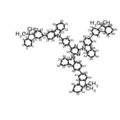 CC1(C)c2ccccc2-c2cc(-c3ccc4c(c3)c3ccccc3n4-c3ccc(-c4cc(-n5c6ccccc6c6cc(-c7ccc8c(c7)-c7ccccc7C8(C)C)ccc65)nc(-n5c6ccccc6c6cc(-c7ccc8c(c7)-c7ccccc7C8(C)C)ccc65)n4)cc3)ccc21